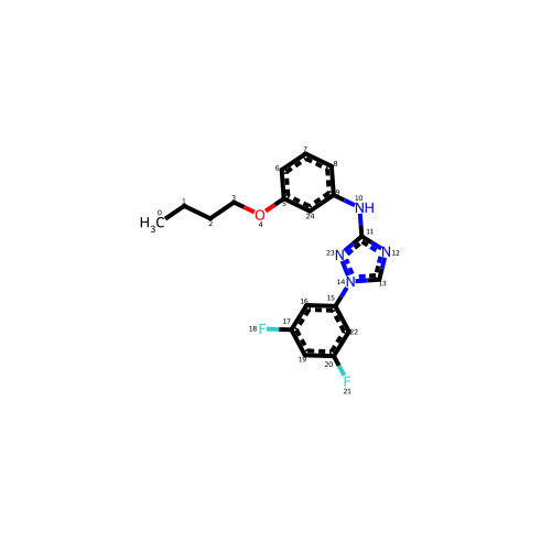 CCCCOc1cccc(Nc2ncn(-c3cc(F)cc(F)c3)n2)c1